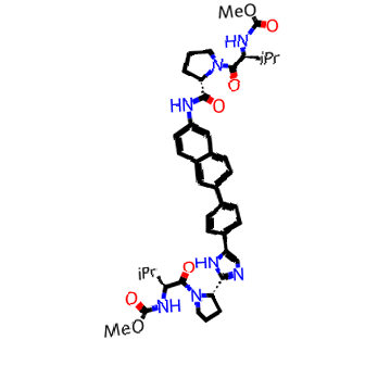 COC(=O)N[C@H](C(=O)N1CCC[C@H]1C(=O)Nc1ccc2cc(-c3ccc(-c4cnc([C@@H]5CCCN5C(=O)[C@@H](NC(=O)OC)C(C)C)[nH]4)cc3)ccc2c1)C(C)C